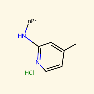 CCCNc1cc(C)ccn1.Cl